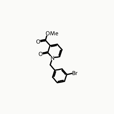 COC(=O)c1cccn(Cc2cccc(Br)c2)c1=O